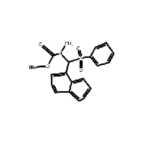 CN(C(=O)OC(C)(C)C)C(c1cccc2ccccc12)S(=O)(=O)c1ccccc1